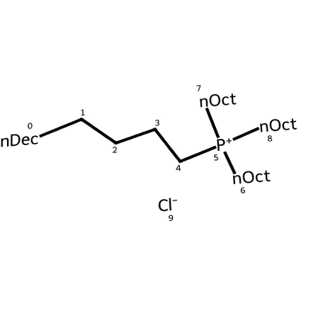 CCCCCCCCCCCCCC[P+](CCCCCCCC)(CCCCCCCC)CCCCCCCC.[Cl-]